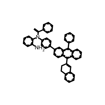 C=C(c1ccccc1)N(c1ccc(-c2ccc3c(C4=Cc5ccccc5CC4)c4ccccc4c(-c4ccccc4)c3c2)cc1)c1ccccc1N